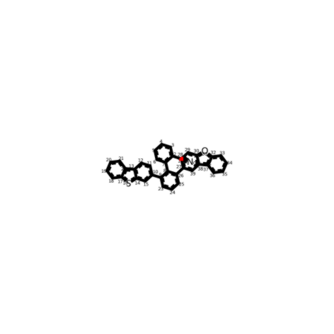 N#Cc1ccccc1-c1c(-c2ccc3c(c2)sc2ccccc23)cccc1-c1ccc2oc3ccccc3c2c1